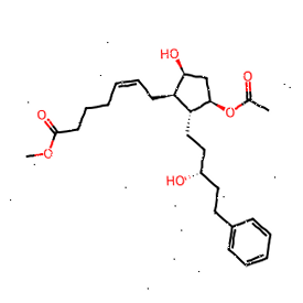 COC(=O)CCC/C=C\C[C@@H]1[C@@H](CC[C@@H](O)CCc2ccccc2)[C@H](OC(C)=O)C[C@@H]1O